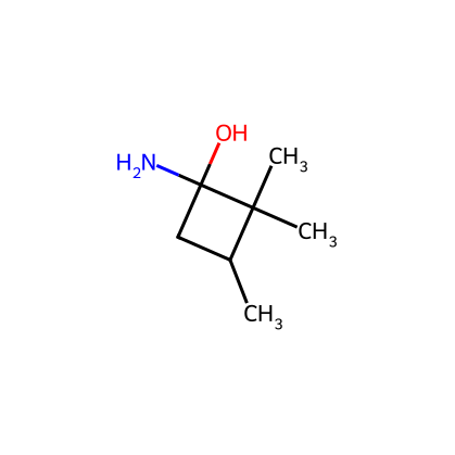 CC1CC(N)(O)C1(C)C